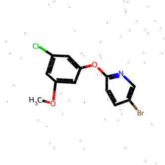 COc1cc(Cl)cc(Oc2ccc(Br)cn2)c1